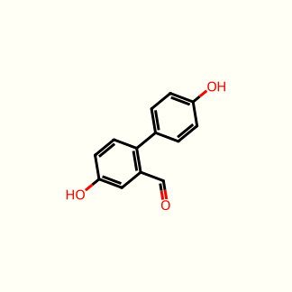 O=Cc1cc(O)ccc1-c1ccc(O)cc1